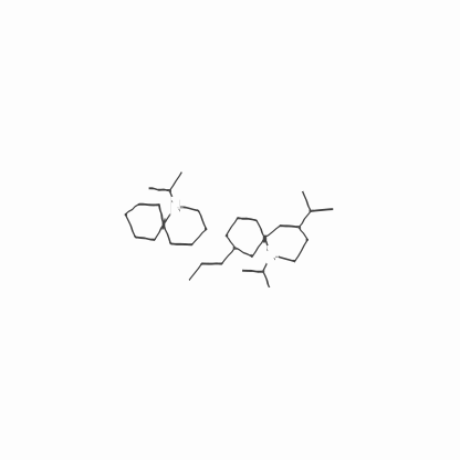 CC(C)C1CCN(C(C)C)C2(CCCC(CC(C)[C@H]3CCN(C(C)C)C4(CCCCC4)C3)C2)C1